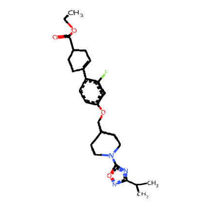 CCOC(=O)C1CC=C(c2ccc(OCC3CCN(c4nc(C(C)C)no4)CC3)cc2F)CC1